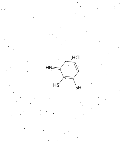 Cl.N=C1CC=CC(S)=C1S